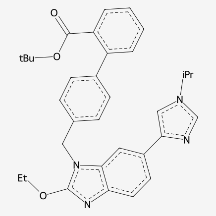 CCOc1nc2ccc(-c3cn(C(C)C)cn3)cc2n1Cc1ccc(-c2ccccc2C(=O)OC(C)(C)C)cc1